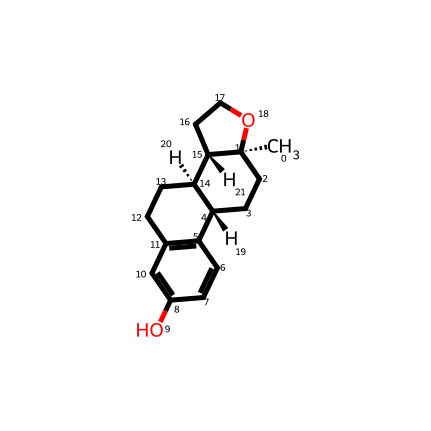 C[C@]12CC[C@@H]3c4ccc(O)cc4CC[C@H]3[C@@H]1CCO2